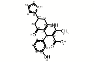 CC1=C(C(=O)O)C(c2cccc(O)c2)C2=C(CC(c3cccs3)CC2=O)N1